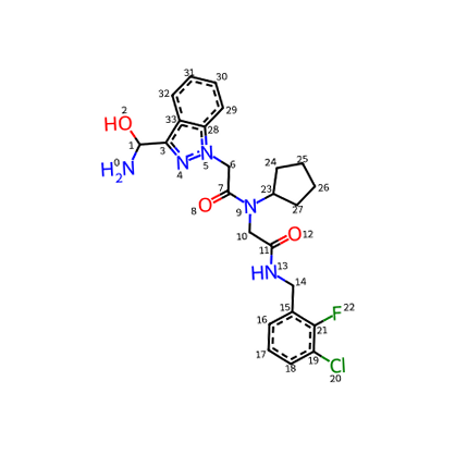 NC(O)c1nn(CC(=O)N(CC(=O)NCc2cccc(Cl)c2F)C2CCCC2)c2ccccc12